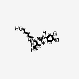 OCCCCCNc1nc(Nc2ccc(Cl)c(Cl)c2)ncc1C(F)(F)F